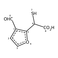 O=Cc1ccoc1C(S)C(=O)O